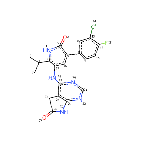 CC(C)c1[nH]c(=O)c(-c2ccc(F)c(Cl)c2)cc1Nc1ncnc2c1CC(=O)N2